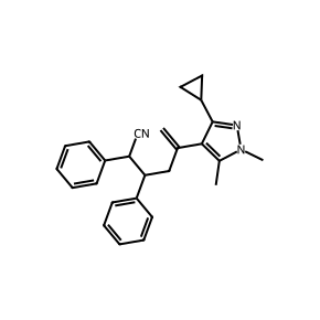 C=C(CC(c1ccccc1)C(C#N)c1ccccc1)c1c(C2CC2)nn(C)c1C